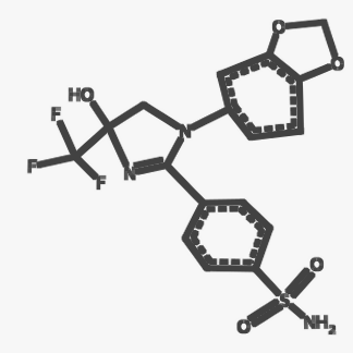 NS(=O)(=O)c1ccc(C2=NC(O)(C(F)(F)F)CN2c2ccc3c(c2)OCO3)cc1